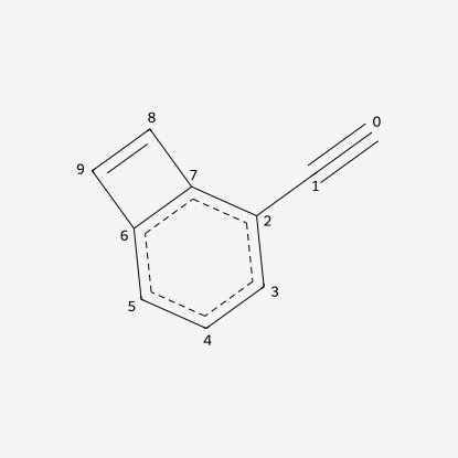 C#Cc1cccc2c1C=C2